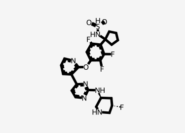 O=[SH](=O)NC1(c2c(F)cc(Oc3ncccc3-c3ccnc(N[C@@H]4CNC[C@@H](F)C4)n3)c(F)c2F)CCCC1